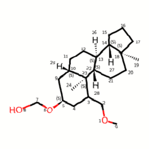 COCC1C[C@@H](OCO)C[C@@H]2CC[C@H]3[C@@H]4CCC[C@@]4(C)CC[C@@H]3[C@@]12C